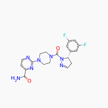 NC(=O)c1ccnc(N2CCN(C(=O)N3N=CC[C@H]3c3cc(F)cc(F)c3)CC2)n1